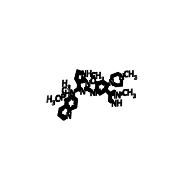 CN/C=C(\C=N)c1cc(Nc2nc(Nc3ccc4ncccc4c3P(C)C)c3cc[nH]c3n2)c(OC)cc1N1CCN(C)CC1